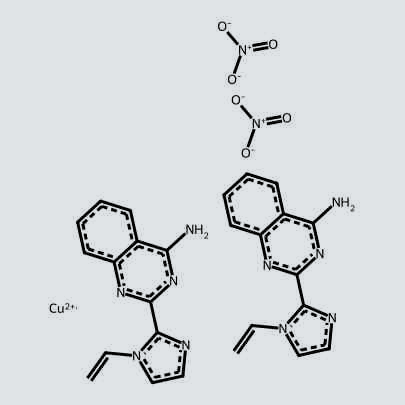 C=Cn1ccnc1-c1nc(N)c2ccccc2n1.C=Cn1ccnc1-c1nc(N)c2ccccc2n1.O=[N+]([O-])[O-].O=[N+]([O-])[O-].[Cu+2]